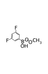 COOB(O)c1cc(F)cc(F)c1